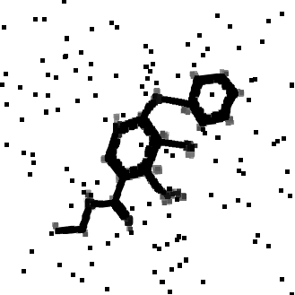 CCOC(=O)c1cnc(Oc2ccccc2)c(Br)c1N